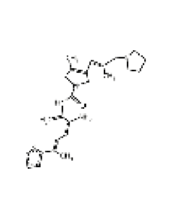 C=C(NC(=O)N1CC(C)=C(/C=C(\C)CN2CCCC2)C1)/C(N)=C\C=C(/C)c1cccs1